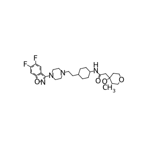 COC1(CC(=O)NC2CCC(CCN3CCN(c4noc5cc(F)c(F)cc45)CC3)CC2)CCOCC1